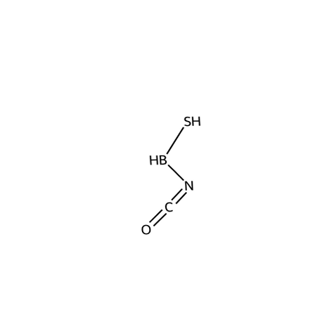 O=C=NBS